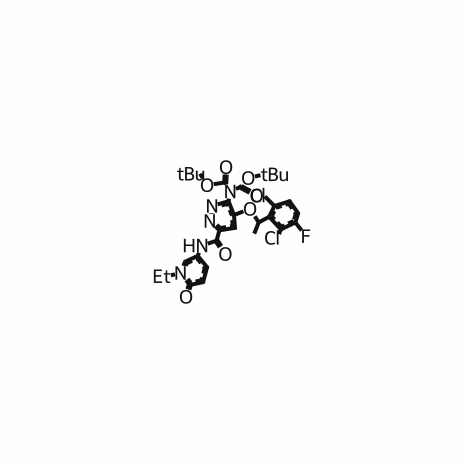 CCn1cc(NC(=O)c2cc(OC(C)c3c(Cl)ccc(F)c3Cl)c(N(C(=O)OC(C)(C)C)C(=O)OC(C)(C)C)nn2)ccc1=O